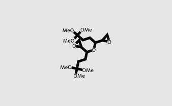 COC(CCC(OC(CCC(OC)(OC)OC)C1CO1)C1CO1)(OC)OC